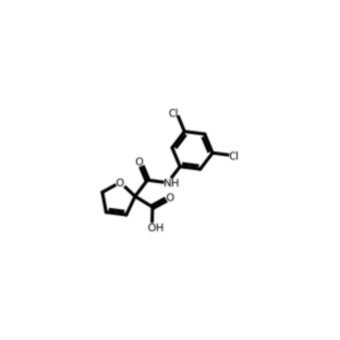 O=C(O)C1(C(=O)Nc2cc(Cl)cc(Cl)c2)C=CCO1